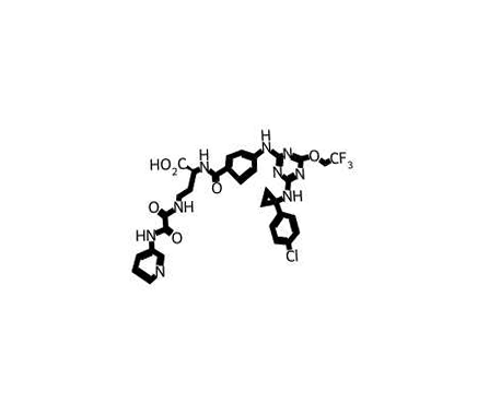 O=C(NCC[C@H](NC(=O)c1ccc(Nc2nc(NC3(c4ccc(Cl)cc4)CC3)nc(OCC(F)(F)F)n2)cc1)C(=O)O)C(=O)Nc1cccnc1